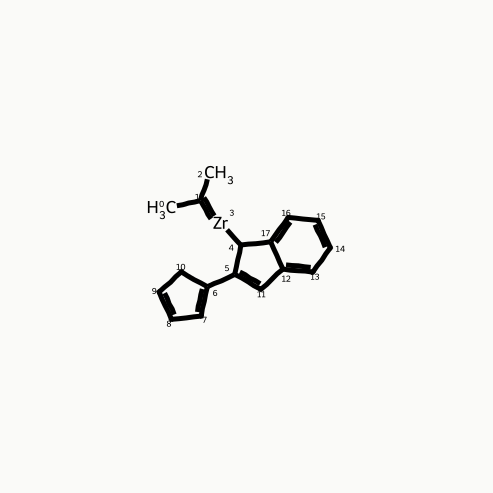 C[C](C)=[Zr][CH]1C(C2=CC=CC2)=Cc2ccccc21